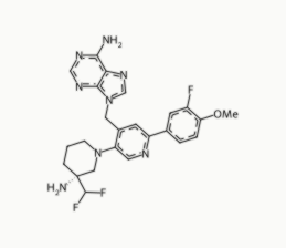 COc1ccc(-c2cc(Cn3cnc4c(N)ncnc43)c(N3CCC[C@](N)(C(F)F)C3)cn2)cc1F